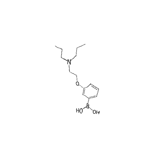 CCCN(CCC)CCOc1cccc(B(O)O)c1